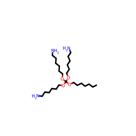 CCCCCCCOC(OCCCCCCN)(OCCCCCCN)OCCCCCCN